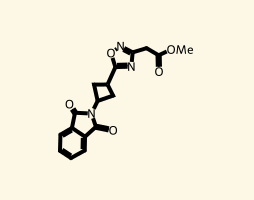 COC(=O)Cc1noc(C2CC(N3C(=O)c4ccccc4C3=O)C2)n1